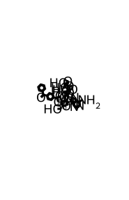 Nc1ncnc2c1ncn2[C@@H]1O[C@H](CO)[C@@H](OC(=O)c2ccc(C(=O)c3ccccc3)cc2)[C@H]1OP(=O)(O)OP(=O)(O)OP(=O)(O)O